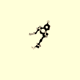 COCc1nnc2n1Cc1c(C#Cc3ncc(C)s3)ncn1-c1ccc(Cl)cc1-2